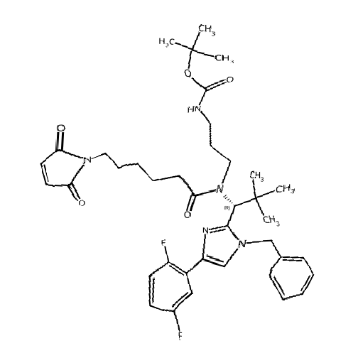 CC(C)(C)OC(=O)NCCCN(C(=O)CCCCCN1C(=O)C=CC1=O)[C@@H](c1nc(-c2cc(F)ccc2F)cn1Cc1ccccc1)C(C)(C)C